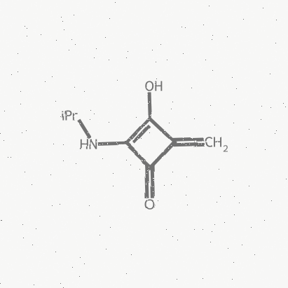 C=C1C(=O)C(NC(C)C)=C1O